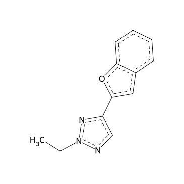 CCn1ncc(-c2cc3ccccc3o2)n1